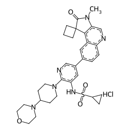 CN1C(=O)C2(CCC2)c2c1cnc1ccc(-c3cnc(N4CCC(N5CCOCC5)CC4)c(NS(=O)(=O)C4CC4)c3)cc21.Cl